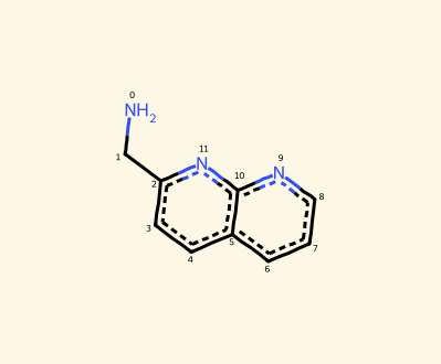 NCc1ccc2cccnc2n1